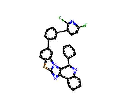 Fc1ccc(-c2cccc(-c3ccc4sc5nc6c7ccccc7nc(-c7ccccc7)c6n5c4c3)c2)c(F)n1